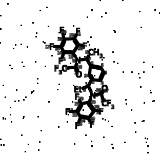 CCC(c1cccc(C(C)N(C(=O)C(F)(F)F)c2c(F)c(F)c(F)c(F)c2F)c1)N(C(=O)C(F)(F)F)c1c(F)c(F)c(F)c(F)c1F